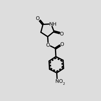 O=C1CC(OC(=O)c2ccc([N+](=O)[O-])cc2)C(=O)N1